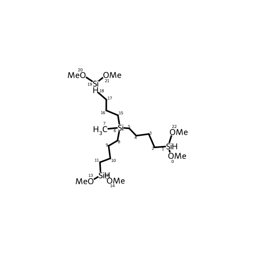 CO[SiH](CCCC[Si](C)(CCCC[SiH](OC)OC)CCCC[SiH](OC)OC)OC